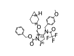 COc1ccc(CN(C(=O)C(F)(F)F)[C@H]2C[C@@H](C)N(C(=O)OCc3ccccc3)[C@H]2CO[C@@H]2CCC3C[C@H]3C2)cc1